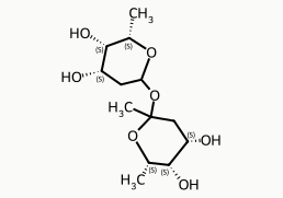 C[C@@H]1OC(OC2(C)C[C@H](O)[C@H](O)[C@H](C)O2)C[C@H](O)[C@@H]1O